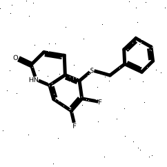 O=c1ccc2c(SCc3ccccc3)c(F)c(F)cc2[nH]1